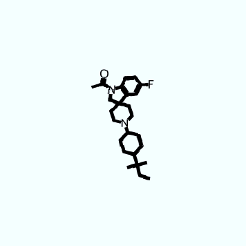 CCC(C)(C)C1CCC(N2CCC3(CC2)CN(C(C)=O)c2ccc(F)cc23)CC1